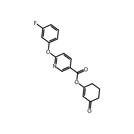 O=C1C=C(OC(=O)c2ccc(Oc3cccc(F)c3)nc2)CCC1